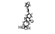 O=c1c2ccc(C#Cc3ccoc3)cc2nc2n1CCC(O)(O)CC2